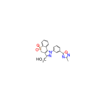 Cc1noc(-c2cccc(-n3nc(C(=O)O)c4c3-c3ccccc3S(=O)(=O)C4)c2)n1